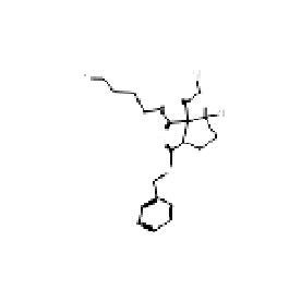 NCCCCC(N)C(=O)C1(C(=O)CN)C(C(=O)OCc2ccccc2)CCC1(N)C(=O)O